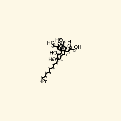 CC(C)CCCCCCCCCCCCC(CC(O)CO)(CC(O)CO)C(CC(O)CO)(CC(O)CO)C(=O)O